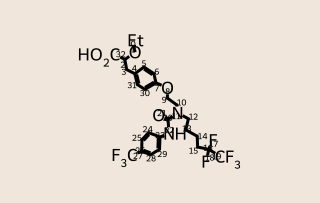 CCOC(Cc1ccc(OCCN(CCCCC(F)(F)C(F)(F)F)C(=O)Nc2ccc(C(F)(F)F)cc2)cc1)C(=O)O